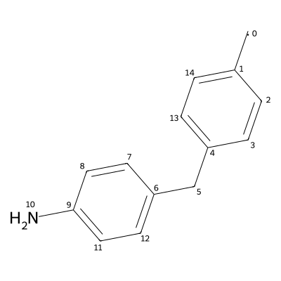 [CH2]c1ccc(Cc2ccc(N)cc2)cc1